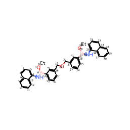 CCOB(Nc1cccc2ccccc12)c1cccc(COCc2cccc(B(Nc3cccc4ccccc34)OCC)c2)c1